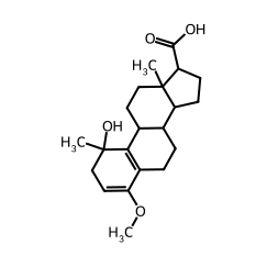 COC1=CCC(C)(O)C2=C1CCC1C2CCC2(C)C(C(=O)O)CCC12